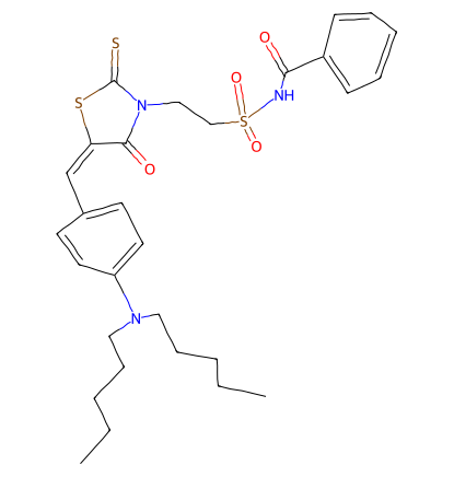 CCCCCN(CCCCC)c1ccc(C=C2SC(=S)N(CCS(=O)(=O)NC(=O)c3ccccc3)C2=O)cc1